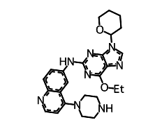 CCOc1nc(Nc2ccc3nccc(N4CCNCC4)c3c2)nc2c1ncn2C1CCCCO1